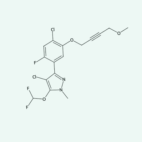 COCC#CCOc1cc(-c2nn(C)c(OC(F)F)c2Cl)c(F)cc1Cl